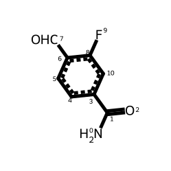 NC(=O)c1ccc(C=O)c(F)c1